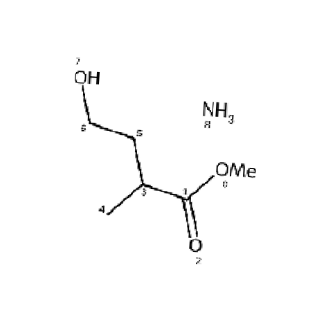 COC(=O)C(C)CCO.N